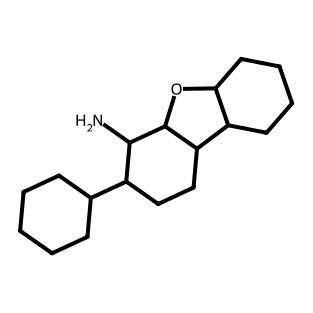 NC1C(C2CCCCC2)CCC2C3CCCCC3OC12